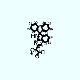 COC(C(=O)Cl)c1csc(NC(c2ccccc2)(c2ccccc2)c2ccccc2)n1